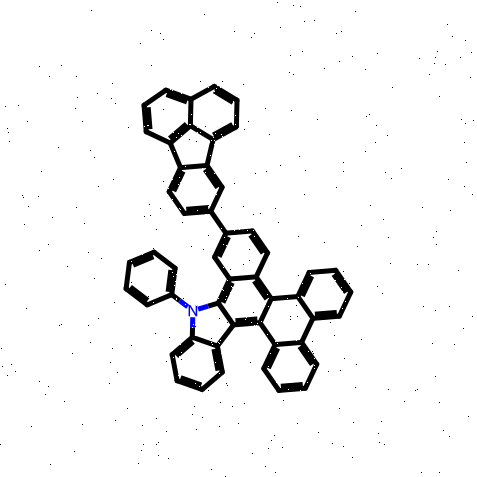 c1ccc(-n2c3ccccc3c3c4c5ccccc5c5ccccc5c4c4ccc(-c5ccc6c(c5)-c5cccc7cccc-6c57)cc4c32)cc1